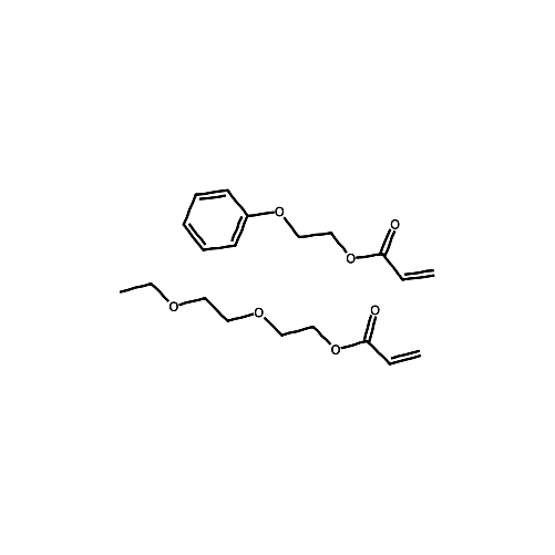 C=CC(=O)OCCOCCOCC.C=CC(=O)OCCOc1ccccc1